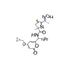 CCCC(NC(=O)C1(C)CSC(/C(C)=N/O)=N1)c1cc(OCC2CC2)cc(=O)o1